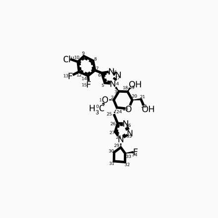 CO[C@@H]1[C@@H](n2cc(-c3ccc(Cl)c(F)c3F)nn2)[C@@H](O)[C@@H](CO)O[C@@H]1Cc1cn([C@H]2CCC[C@@H]2F)nn1